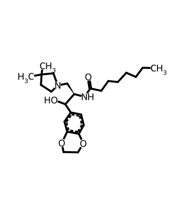 CCCCCCCC(=O)N[C@H](CN1CCC(C)(C)C1)C(O)c1ccc2c(c1)OCCO2